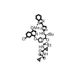 CC[C@@H]1C[C@]1(NC(=O)[C@@H]1C[C@@H](Oc2ncc(OC)c3ccc(Cl)cc23)CN1C(=O)[C@@H](Nc1nc(-c2nc3ccccc3n2C)cs1)C(C)(C)C)C(=O)NS(=O)(=O)C1CC1